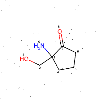 NC1(CO)CCCC1=O